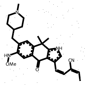 C/C=C(C#N)\C=C/c1c[nH]c2c1C(=O)c1cc(NOC)c(CC3CCN(C)CC3)cc1C2(C)C